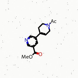 COC(=O)c1cncc(C2=CCN(C(C)=O)CC2)c1